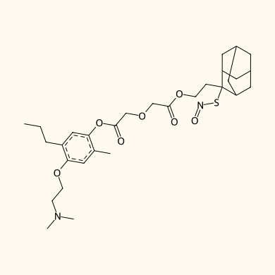 CCCc1cc(OC(=O)COCC(=O)OCCC2(SN=O)C3CC4CC(C3)CC2C4)c(C)cc1OCCN(C)C